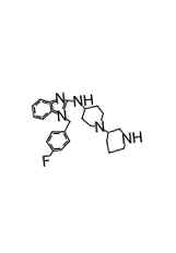 Fc1ccc(Cn2c(NC3CCN(C4CCCNC4)CC3)nc3ccccc32)cc1